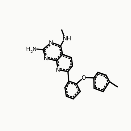 CNc1nc(N)nc2nc(-c3ccccc3Oc3ccc(C)cc3)ccc12